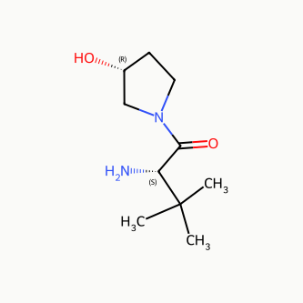 CC(C)(C)[C@H](N)C(=O)N1CC[C@@H](O)C1